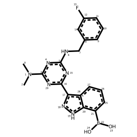 CN(C)c1nc(NCc2cccc(F)c2)nc(-c2n[nH]c3c(B(O)O)cccc23)n1